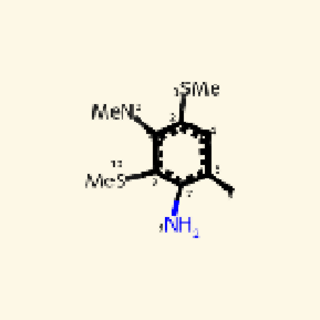 CNc1c(SC)cc(C)c(N)c1SC